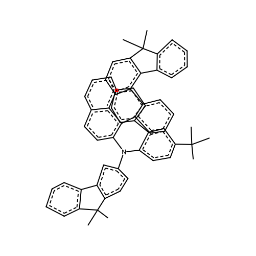 CC(C)(C)c1ccc(N(c2ccc3c(c2)-c2ccccc2C3(C)C)c2ccc3ccccc3c2-c2ccccc2-c2cccc3c2-c2ccccc2C3(C)C)c(-c2ccccc2)c1